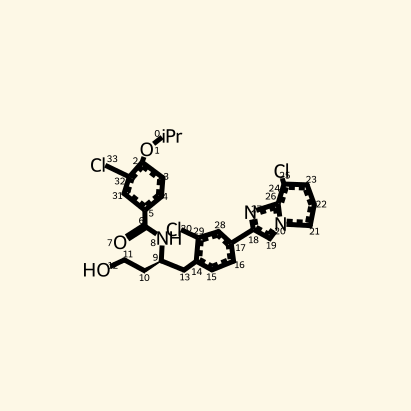 CC(C)Oc1ccc(C(=O)N[C@H](CCO)Cc2ccc(-c3cn4cccc(Cl)c4n3)cc2Cl)cc1Cl